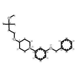 COC(C)(C)CCOC1CCN(c2cccc(OCc3ccccc3)c2)CC1